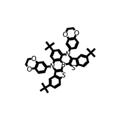 CC(C)(C)c1cc2c3c(c1)N(c1ccc4c(c1)OCCO4)c1c(sc4ccc(C(C)(C)C)cc14)B3c1sc3ccc(C(C)(C)C)cc3c1N2c1ccc2c(c1)OCCO2